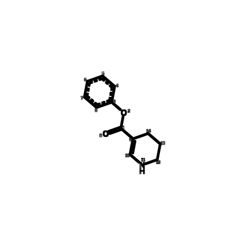 O=C(Oc1ccccc1)C1=CNCCC1